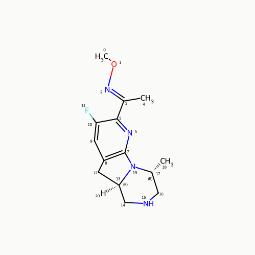 CON=C(C)c1nc2c(cc1F)C[C@@H]1CNC[C@@H](C)N21